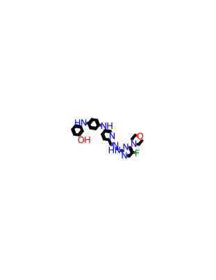 Oc1cccc(Nc2ccc(Nc3ccc(/C=N/Nc4ncc(F)c(N5CCOCC5)n4)nc3)cc2)c1